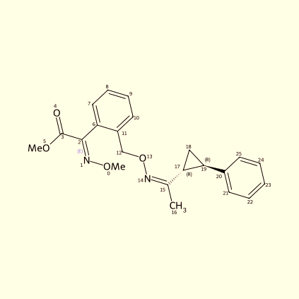 CO/N=C(/C(=O)OC)c1ccccc1CON=C(C)[C@@H]1C[C@H]1c1ccccc1